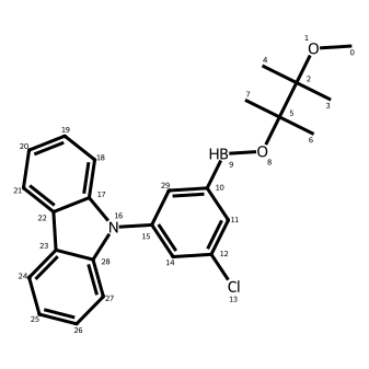 COC(C)(C)C(C)(C)OBc1cc(Cl)cc(-n2c3ccccc3c3ccccc32)c1